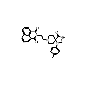 O=C1c2cccc3cccc(c23)C(=O)N1CCN1CCC2(CC1)C(=O)NCN2c1ccc(Cl)cc1